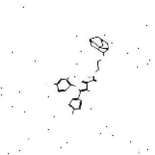 Cc1cc(C#N)ccc1-n1nc(C(=O)NCCNC2C3CC4CC(C3)CC2C4)c(C)c1-c1ccc(Cl)cc1